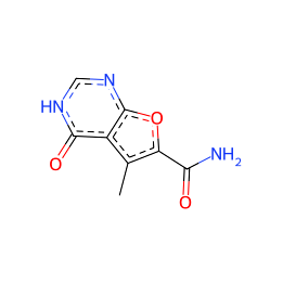 Cc1c(C(N)=O)oc2nc[nH]c(=O)c12